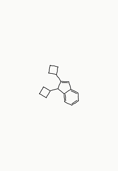 C1=C(C2CCC2)C(C2CCC2)c2ccccc21